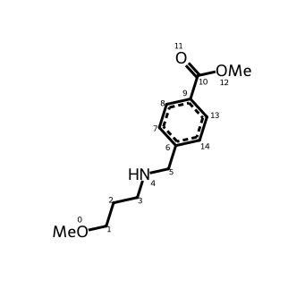 COCCCNCc1ccc(C(=O)OC)cc1